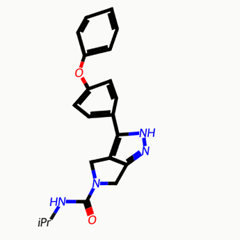 CC(C)NC(=O)N1Cc2n[nH]c(-c3ccc(Oc4ccccc4)cc3)c2C1